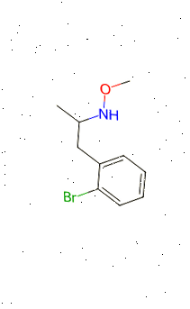 CONC(C)Cc1ccccc1Br